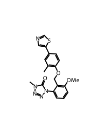 COc1cccc(-n2nnn(C)c2=O)c1COc1ccc(-c2cncs2)cc1C